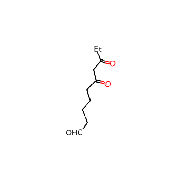 CCC(=O)CC(=O)CCCCC=O